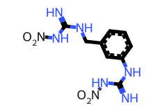 N=C(NCc1cccc(NC(=N)N[N+](=O)[O-])c1)N[N+](=O)[O-]